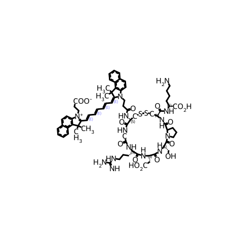 CC1(C)C(/C=C/C=C/C=C/C=C2/N(CCC(=O)N[C@@H]3CSSC[C@@H](C(=O)N[C@@H](CCCCN)C(=O)O)NC(=O)C4CCCN4C(=O)[C@H](CO)NC(=O)[C@H](CC(=O)O)NC(=O)[C@H](CCCNC(=N)N)NC(=O)CNC3=O)c3ccc4ccccc4c3C2(C)C)=[N+](CCC(=O)[O-])c2ccc3ccccc3c21